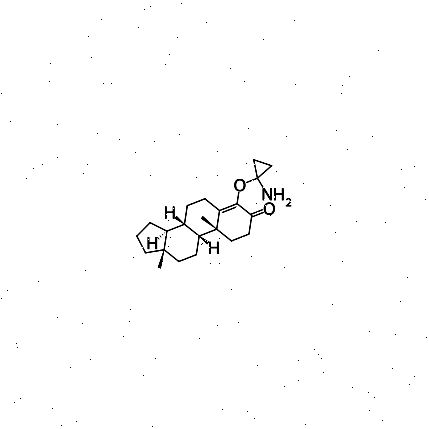 C[C@@]12CCC[C@H]1[C@@H]1CCC3=C(OC4(N)CC4)C(=O)CC[C@]3(C)[C@@H]1CC2